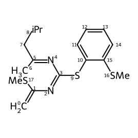 C=C(/N=C(\N=C(/C)CC(C)C)Sc1ccccc1SC)SC